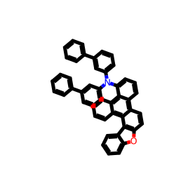 c1ccc(-c2cccc(N(c3cccc(-c4ccccc4)c3)c3cccc4c5ccc6oc7ccccc7c6c5c5ccccc5c34)c2)cc1